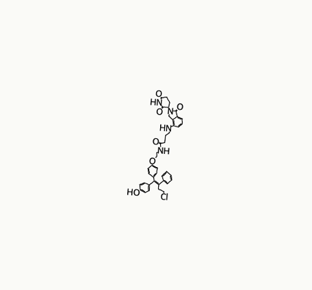 O=C(CCCNc1cccc2c1CN(C1CCC(=O)NC1=O)C2=O)NCCOc1ccc(C(=C(CCCl)c2ccccc2)c2ccc(O)cc2)cc1